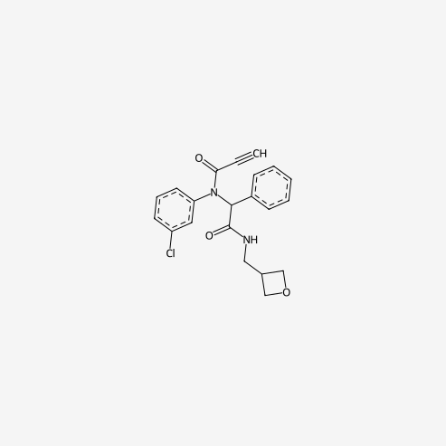 C#CC(=O)N(c1cccc(Cl)c1)C(C(=O)NCC1COC1)c1ccccc1